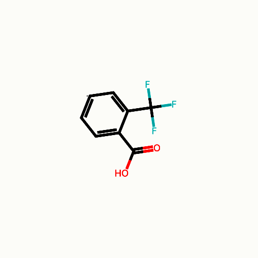 O=C(O)c1cc[c]cc1C(F)(F)F